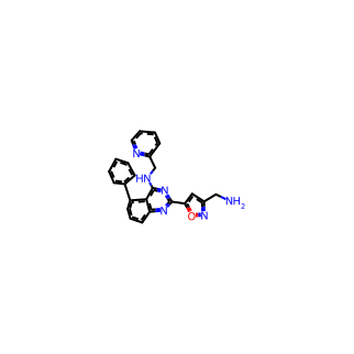 NCc1cc(-c2nc(NCc3ccccn3)c3c(-c4ccccc4)cccc3n2)on1